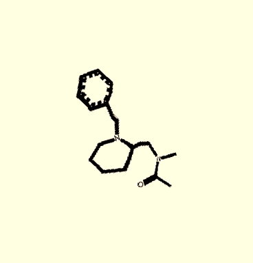 CC(=O)N(C)CC1CCCCN1Cc1ccccc1